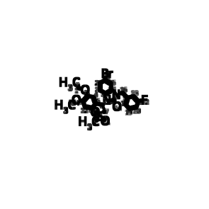 CCOc1cc([C@H](CS(C)(=O)=O)n2c(=O)n(Cc3cccc(F)c3)c3cc(Br)ccc32)ccc1OC